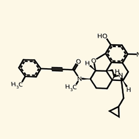 Cc1cccc(C#CC(=O)N(C)[C@@H]2CC[C@H]3[C@H]4Cc5c([N+](=O)[O-])cc(O)c6c5[C@@]3(CCN4CC3CC3)[C@H]2O6)c1